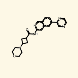 O=C(Nc1cc2cc(-c3cnccn3)ccc2cn1)C1CC(N2CCOCC2)C1